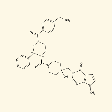 Cn1ccc2c(=O)n(CC3(O)CCN(C(=O)[C@@H]4CCN(C(=O)c5ccc(CN)cc5)C[C@H]4c4ccccc4)CC3)cnc21